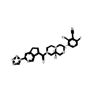 N#Cc1c(F)ccc([C@H]2CN3CCN(C(=O)C4CCc5cc(-n6cnnn6)ncc54)C[C@H]3CO2)c1Cl